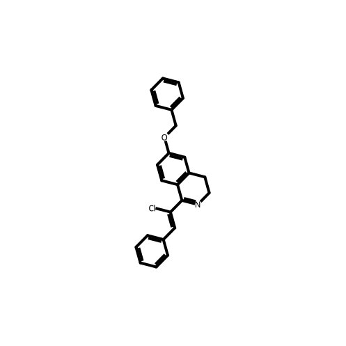 ClC(=Cc1ccccc1)C1=NCCc2cc(OCc3ccccc3)ccc21